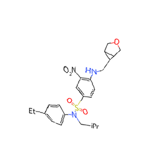 CCc1ccc(N(CC(C)C)S(=O)(=O)c2ccc(NCC3C4COCC34)c([N+](=O)[O-])c2)cc1